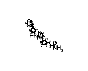 NC(=O)CCc1cccc(-c2ccnc(Nc3ccc(N4CCOCC4)cc3)n2)c1